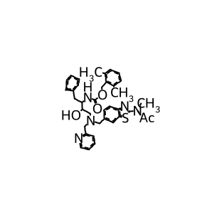 CC(=O)N(C)c1nc2ccc(CN(Cc3ccccn3)CC(O)C(Cc3ccccc3)NC(=O)OCc3c(C)cccc3C)cc2s1